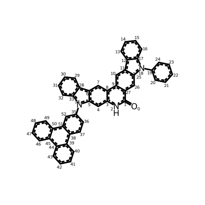 O=c1[nH]c2cc3c(cc2c2cc4c5ccccc5n(-c5ccccc5)c4cc12)c1ccccc1n3-c1ccc2c3ccccc3c3ccccc3c2c1